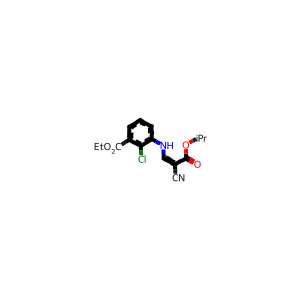 CCOC(=O)c1cccc(NC=C(C#N)C(=O)OC(C)C)c1Cl